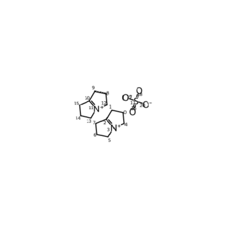 C1CC2=[N+](C1)CCC2.C1CC2=[N+](C1)CCC2.O=S(=O)([O-])[O-]